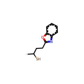 [CH2]C(S)CCc1nc2ccccc2o1